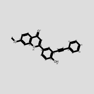 COc1ccc2c(=O)cc(-c3ccc(O)c(C#Cc4ccccc4)c3)oc2c1